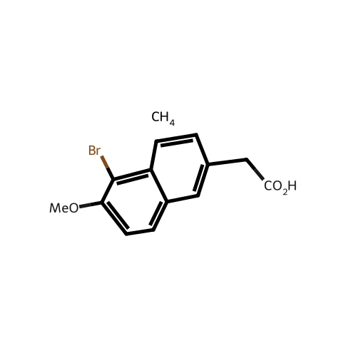 C.COc1ccc2cc(CC(=O)O)ccc2c1Br